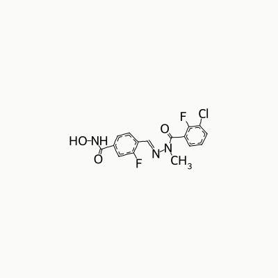 CN(/N=C/c1ccc(C(=O)NO)cc1F)C(=O)c1cccc(Cl)c1F